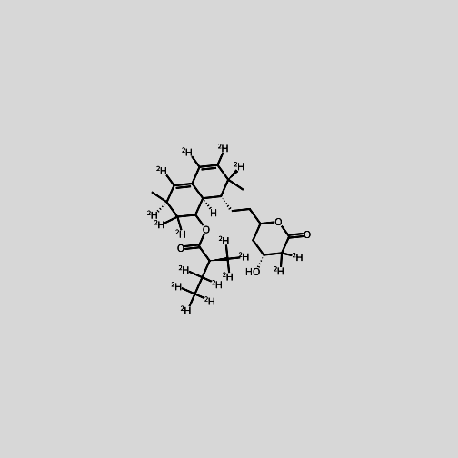 [2H]C1=C([2H])[C@]([2H])(C)[C@H](CCC2C[C@@H](O)C([2H])([2H])C(=O)O2)[C@@H]2C1=C([2H])[C@]([2H])(C)C([2H])([2H])C2OC(=O)[C@@H](C([2H])([2H])[2H])C([2H])([2H])C([2H])([2H])[2H]